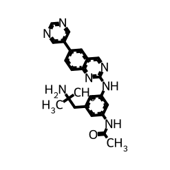 CC(=O)Nc1cc(CC(C)(C)N)cc(Nc2ncc3cc(-c4cncnc4)ccc3n2)c1